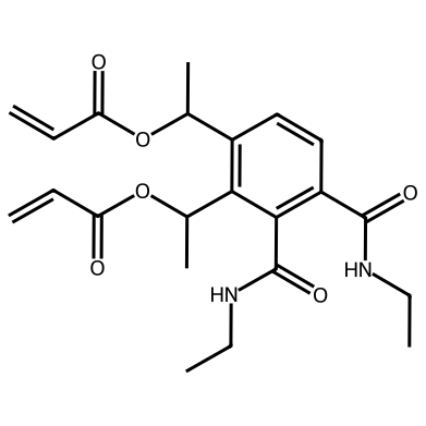 C=CC(=O)OC(C)c1ccc(C(=O)NCC)c(C(=O)NCC)c1C(C)OC(=O)C=C